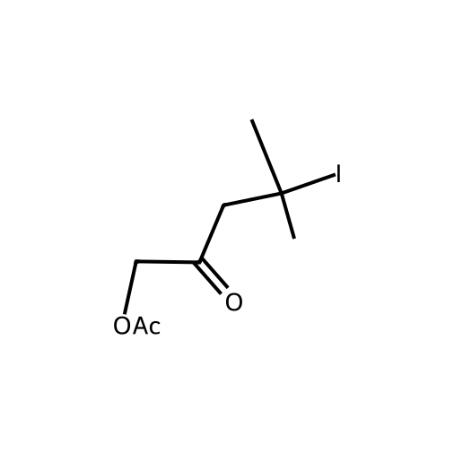 CC(=O)OCC(=O)CC(C)(C)I